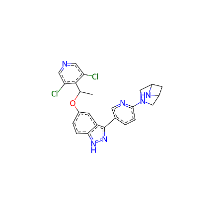 CC(Oc1ccc2[nH]nc(-c3ccc(N4CC5CC(C4)N5)nc3)c2c1)c1c(Cl)cncc1Cl